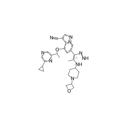 C/C(NC1CCN(C2COC2)CC1)=C(/N=N)c1cc(OC(C)c2cncc(C3CC3)n2)c2c(C#N)cnn2c1